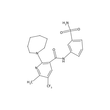 Cc1nc(N2CCCCCC2)c(C(=O)Nc2cccc(S(N)(=O)=O)c2)cc1C(F)(F)F